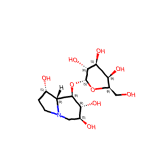 OC[C@H]1O[C@H](O[C@H]2[C@H](O)[C@@H](O)CN3CC[C@H](O)[C@H]23)[C@H](O)[C@@H](O)[C@H]1O